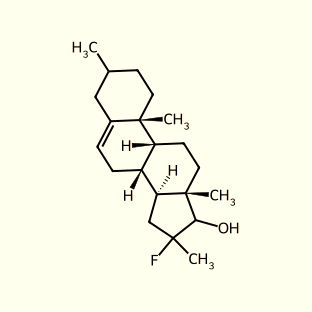 CC1CC[C@@]2(C)C(=CC[C@@H]3[C@H]2CC[C@]2(C)C(O)C(C)(F)C[C@@H]32)C1